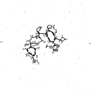 Cc1cc(C2CCC2)c(-c2nnc[nH]2)cc1C(=O)N1CCC(F)(c2ccc(N)cc2)CC1